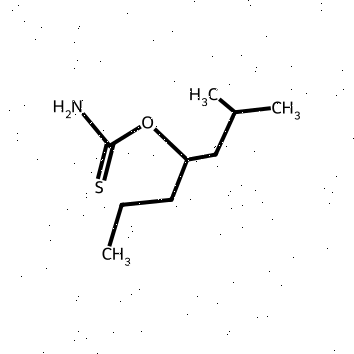 CCCC(CC(C)C)OC(N)=S